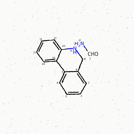 NC=O.c1ccc2c(c1)CNc1ccccc1-2